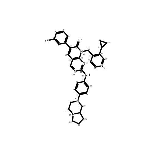 O=c1c(-c2cccc(F)c2)cc2cnc(Nc3ccc(N4CCN5CCCC5C4)cc3)nc2n1Cc1ccncc1C1CC1